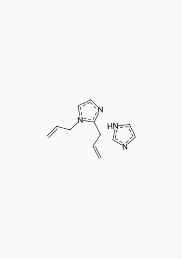 C=CCc1nccn1CC=C.c1c[nH]cn1